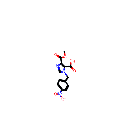 COC(=O)c1ncn(Cc2ccc([N+](=O)[O-])cc2)c1C(=O)O